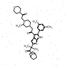 Cc1cc(C)cc(-c2[nH]c3sc(C(C)(C)C(=O)N4C5CCC4CC5)cc3c2C(=O)CN2CCN(CC(=O)N3CCOCC3)C(C)C2)c1